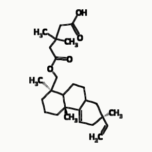 C=C[C@@]1(C)CC=C2C(CCC3[C@](C)(COC(=O)CC(C)(C)CC(=O)O)CCC[C@@]23C)C1